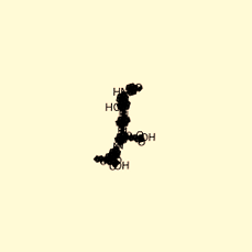 CCCOc1cc(S(=O)(=O)O)c2ccc(N=Nc3cc(OCCCS(=O)(=O)O)c(N=Nc4cc(C)c(N=Nc5ccc6cc(Nc7ccc(OC)cc7)ccc6c5O)cc4C)cc3C)cc2c1